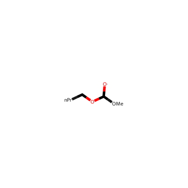 CCCCOC([O])OC